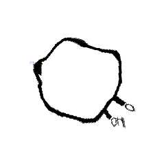 O=C1CCCCCCC/C=C\CCCCCCC1O